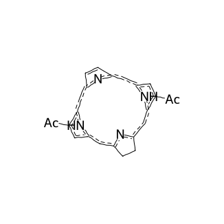 CC(=O)c1cc2cc3nc(cc4[nH]c(cc5nc(cc1[nH]2)C=C5)cc4C(C)=O)CC3